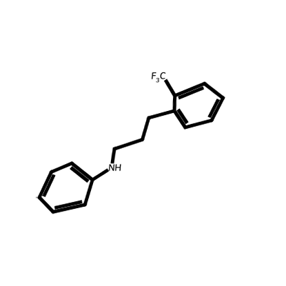 FC(F)(F)c1ccccc1CCCNc1cc[c]cc1